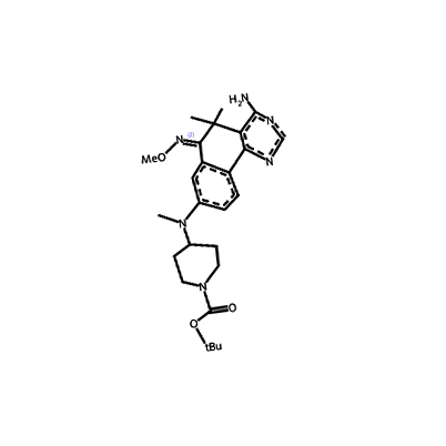 CO/N=C1\c2cc(N(C)C3CCN(C(=O)OC(C)(C)C)CC3)ccc2-c2ncnc(N)c2C1(C)C